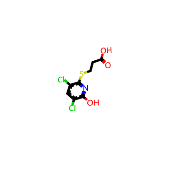 O=C(O)CCSc1nc(O)c(Cl)cc1Cl